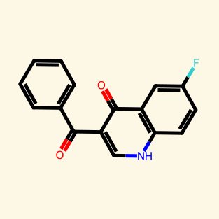 O=C(c1ccccc1)c1c[nH]c2ccc(F)cc2c1=O